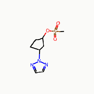 CS(=O)(=O)OC1CCC(n2nccn2)C1